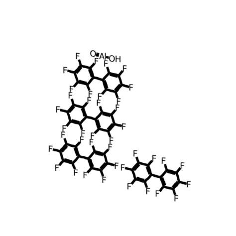 Fc1c(F)c(F)c(-c2c(F)c(F)c(F)c(F)c2F)c(F)c1F.Fc1c(F)c(F)c(-c2c(F)c(F)c(F)c(F)c2F)c(F)c1F.Fc1c(F)c(F)c(-c2c(F)c(F)c(F)c(F)c2F)c(F)c1F.Fc1c(F)c(F)c(-c2c(F)c(F)c(F)c(F)c2F)c(F)c1F.[O]=[Al][OH]